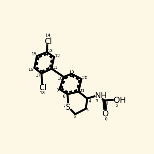 O=C(O)NC1CCSc2cc(-c3cc(Cl)ccc3Cl)ccc21